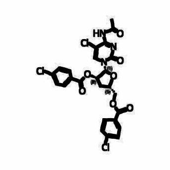 CC(=O)Nc1nc(=O)n([C@@H]2O[C@H](COC(=O)c3ccc(Cl)cc3)C[C@H]2OC(=O)c2ccc(Cl)cc2)cc1Cl